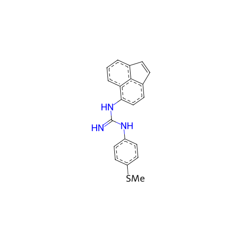 CSc1ccc(NC(=N)Nc2ccc3c4c(cccc24)C=C3)cc1